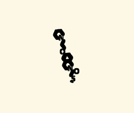 CSCC(=O)N1CCc2cc(OCCCN3CCCCC3)ccc2C1